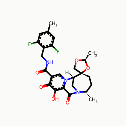 Cc1cc(F)c(CNC(=O)c2cn3c(c(O)c2=O)C(=O)N2C[C@@H]3[C@]3(CC[C@@H]2C)CO[C@@H](C)O3)c(F)c1